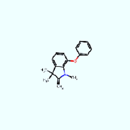 C=C1N(C)c2c(Oc3ccccc3)cccc2C1(C)C